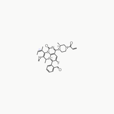 C=CC(=O)N1CCN(c2nc(=O)n3c4c2cc(F)c(-c2ccccc2C=O)[n+]4C(C)C(N=C)=C3/C(C)=C\C)[C@@H](C)C1